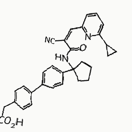 N#CC(=Cc1cccc(C2CC2)n1)C(=O)NC1(c2ccc(-c3ccc(CC(=O)O)cc3)cc2)CCCC1